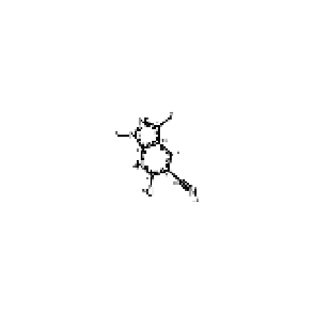 Cc1nn(C)c2nc(Cl)c(C#N)cc12